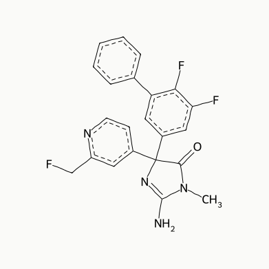 CN1C(=O)C(c2ccnc(CF)c2)(c2cc(F)c(F)c(-c3ccccc3)c2)N=C1N